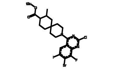 CC1CC2(CCC1C(=O)OC(C)(C)C)CCN(c1nc(Cl)nc3c(F)c(Br)c(I)cc13)CC2